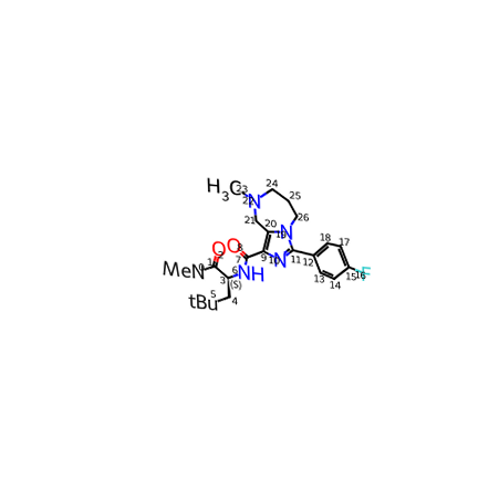 CNC(=O)[C@H](CC(C)(C)C)NC(=O)c1nc(-c2ccc(F)cc2)n2c1CN(C)CCC2